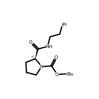 CC(C)CCNC(=O)[C@@H]1CCCN1C(=O)OC(C)(C)C